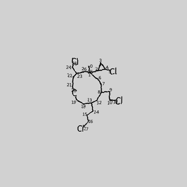 C[C@@]1(C2CC2Cl)CCC(CCCl)CC(CCCCl)CCCCCC(CCl)C1